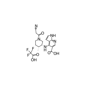 C[C@@H]1CCN(C(=O)CC#N)C[C@@H]1Nc1c(C(=O)O)cnc2[nH]ccc12.O=C(O)C(F)(F)F